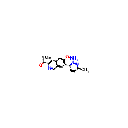 CNC(=O)C1=CC2CC(ON)=C(c3c#cc(C)nn3)C=C2C=N1